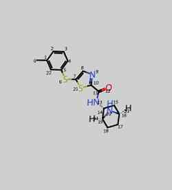 Cc1cccc(Sc2cnc(C(=O)N[C@@H]3C[C@H]4CC[C@@H]3N4)s2)c1